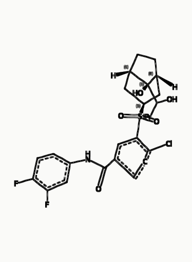 CC(C)C(O)[C@@]1(O)[C@@H]2CC[C@H]1C[C@H](S(=O)(=O)c1cc(C(=O)Nc3ccc(F)c(F)c3)ccc1Cl)C2